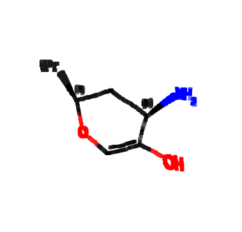 CC(C)[C@H]1C[C@@H](N)C(O)=CO1